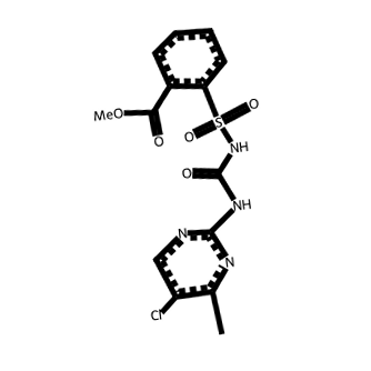 COC(=O)c1ccccc1S(=O)(=O)NC(=O)Nc1ncc(Cl)c(C)n1